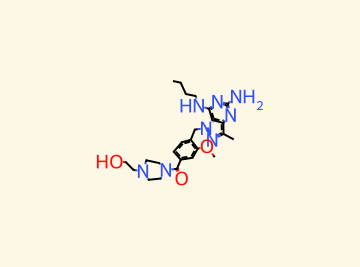 CCCCNc1nc(N)nc2c(C)nn(Cc3ccc(C(=O)N4CCN(CCO)CC4)cc3OC)c12